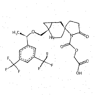 C[C@@H](OC[C@@]12CC1C[C@]1(CCC(=O)N1C(=O)OCC(=O)O)CN2)c1cc(C(F)(F)F)cc(C(F)(F)F)c1